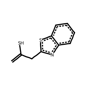 C=C(S)Cc1nc2ccccc2s1